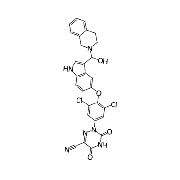 N#Cc1nn(-c2cc(Cl)c(Oc3ccc4[nH]cc(C(O)N5CCc6ccccc6C5)c4c3)c(Cl)c2)c(=O)[nH]c1=O